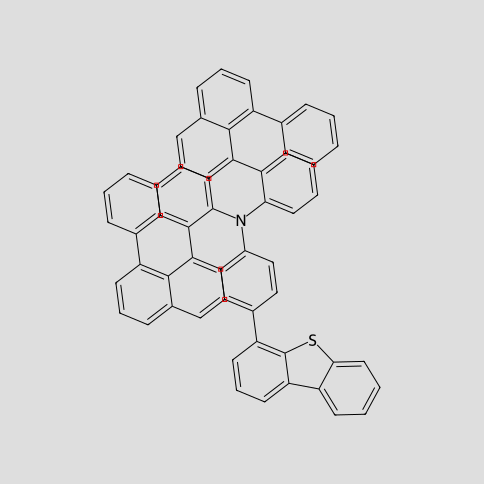 c1ccc(-c2cccc3cccc(-c4ccccc4N(c4ccc(-c5cccc6c5sc5ccccc56)cc4)c4ccccc4-c4cccc5cccc(-c6ccccc6)c45)c23)cc1